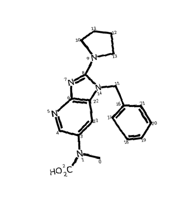 CN(C(=O)O)c1cnc2nc(N3CCCC3)n(Cc3ccccc3)c2c1